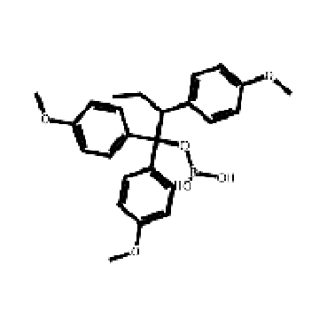 CCC(c1ccc(OC)cc1)C(OB(O)O)(c1ccc(OC)cc1)c1ccc(OC)cc1